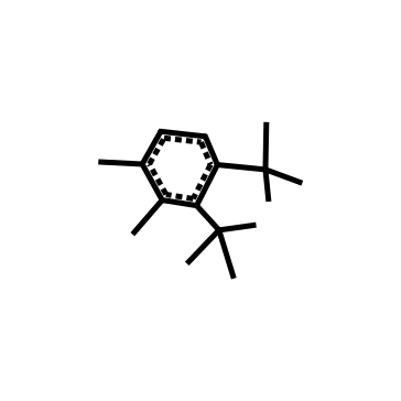 Cc1ccc(C(C)(C)C)c(C(C)(C)C)c1C